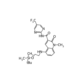 Cn1c(=O)c(C(=O)Nc2ncc(C(F)(F)F)cn2)cc2c(NCCO[Si](C)(C)C(C)(C)C)cccc21